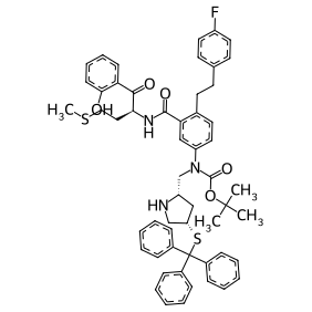 CSCC[C@H](NC(=O)c1cc(N(C[C@@H]2C[C@H](SC(c3ccccc3)(c3ccccc3)c3ccccc3)CN2)C(=O)OC(C)(C)C)ccc1CCc1ccc(F)cc1)C(=O)c1ccccc1O